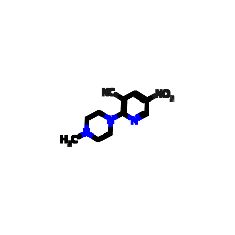 CN1CCN(c2ncc([N+](=O)[O-])cc2C#N)CC1